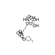 CCC1CCCC(O[C@@H]2C[C@@H](CO)N(C(=O)CCCCCOC3OC(CO)C(O)C(O)C3NC(C)=O)C2)CC1